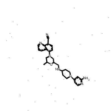 CC1CN(c2ccc(C#N)c3ncccc23)CC(CNC2CCN(c3ccnc(N)c3)CC2)O1